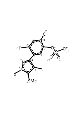 CSc1c(C)c(-c2cc(OS(=O)(=O)C(F)(F)F)c(Cl)cc2F)nn1C